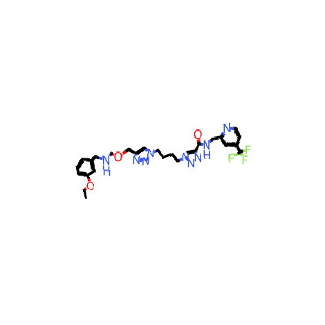 CCOc1cccc(CNCOCc2cn(CCCCn3cc(C(=O)NCc4cc(C(F)(F)F)ccn4)nn3)nn2)c1